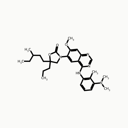 CCCC1(CCC(C)CC)CN(c2cc3c(Nc4cccc(N(C)C)c4C)ncnc3cc2OC)C(=O)O1